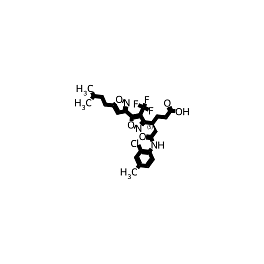 Cc1ccc(NC(=O)C[C@H](CCC(=O)O)c2noc(-c3cc(CCC(C)C)on3)c2C(F)(F)F)c(Cl)c1